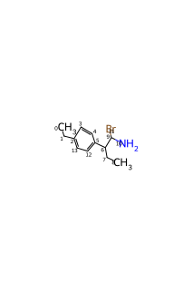 CCc1ccc(C(CC)C(N)Br)cc1